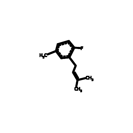 CC(C)=CCc1cc(C)ccc1F